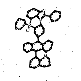 O=P1(c2ccccc2)c2cc(-c3c4ccccc4c(-c4cccc5cccnc45)c4ccccc34)ccc2-n2c(-c3ccccc3)nc3cccc1c32